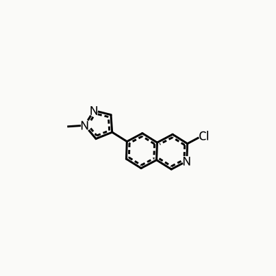 Cn1cc(-c2ccc3cnc(Cl)cc3c2)cn1